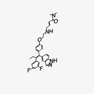 CCC(=C(c1ccc(OCCNCC=CC(=O)N(C)C)cc1)c1ccc2[nH]ncc2c1)c1cc(F)cc(F)c1